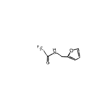 O=C(NCc1ccco1)C(F)(F)F